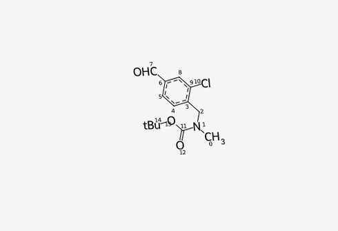 CN(Cc1ccc(C=O)cc1Cl)C(=O)OC(C)(C)C